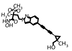 C[C@]1(CO)C[C@@H]1C#CC#Cc1ccc2nn(CC[C@](C)(C(=O)NO)S(C)(=O)=O)cc2c1